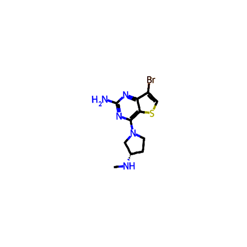 CN[C@H]1CCN(c2nc(N)nc3c(Br)csc23)C1